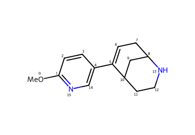 COc1ccc(C2=CCC3CC2CCN3)cn1